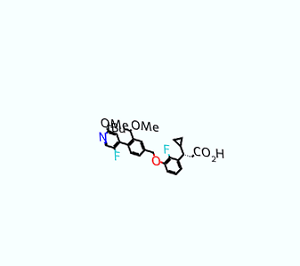 COc1cc(-c2ccc(COc3cccc([C@@H](CC(=O)O)C4CC4)c3F)cc2[C@H](OC)C(C)(C)C)c(F)cn1